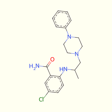 CC(CN1CCN(c2ccccc2)CC1)Nc1ccc(Cl)cc1C(N)=O